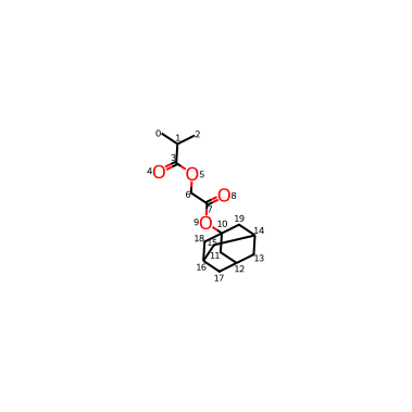 CC(C)C(=O)OCC(=O)OC12CC3CC(CC(C3)C1)C2